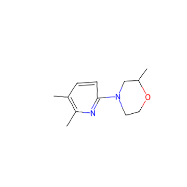 Cc1ccc(N2CCOC(C)C2)nc1C